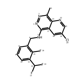 Cc1nnc(NCc2cccc(C(F)F)c2F)c2cc(Cl)cnc12